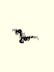 Cc1cccc(-c2nc(CNc3cccc(C(=O)O)c3Br)[nH]c2-c2ccc3ncc(OCCN)cc3c2)n1